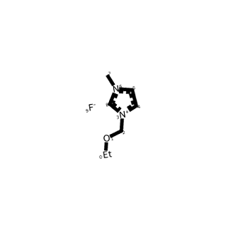 CCOC[n+]1ccn(C)c1.[F-]